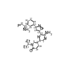 CCC(CC)n1cc(-c2cnc(N)c(-c3cc(-c4cccc(C(N)CF)c4)no3)n2)ccc1=O